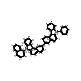 c1ccc(-n2c3ccccc3c3c4ccc(-c5ccc6ccc7c(c6c5)c5ccccc5n7-c5cccc6ccccc56)cc4ccc32)cc1